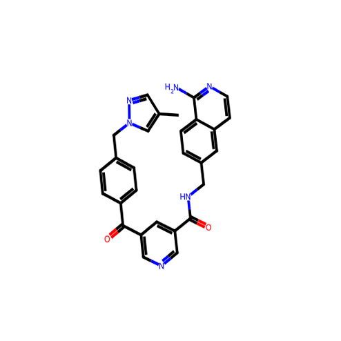 Cc1cnn(Cc2ccc(C(=O)c3cncc(C(=O)NCc4ccc5c(N)nccc5c4)c3)cc2)c1